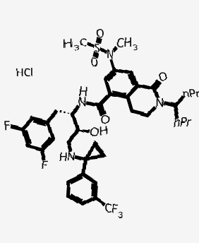 CCCC(CCC)N1CCc2c(C(=O)N[C@@H](Cc3cc(F)cc(F)c3)[C@@H](O)CNC3(c4cccc(C(F)(F)F)c4)CC3)cc(N(C)S(C)(=O)=O)cc2C1=O.Cl